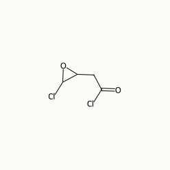 O=C(Cl)CC1OC1Cl